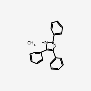 C.c1ccc(-c2nc(-c3ccccc3)c(-c3ccccc3)[nH]2)cc1